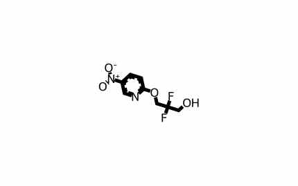 O=[N+]([O-])c1ccc(OCC(F)(F)CO)nc1